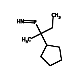 CCC(C)(P=N)C1CCCC1